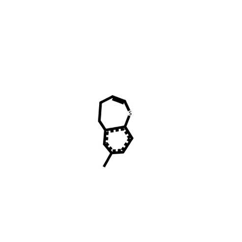 Cc1ccc2c(c1)CCC=CS2